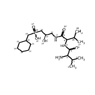 CC(C)C(N)C(=O)NC(C(=O)NCC(O)CP(=O)(O)CC1CCCCC1)C(C)C